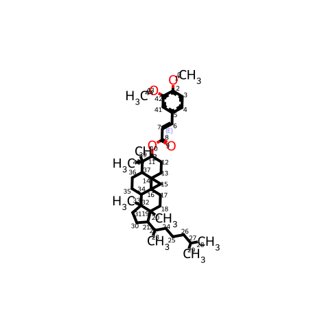 COc1ccc(/C=C/C(=O)OC2CCC34CC35CCC3(C)C(C(C)CCCC(C)C)CCC3(C)C5CCC4C2(C)C)cc1OC